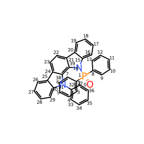 O=P(c1ccccc1)(c1ccccc1)n1c2ccccc2c2ccc3c4ccccc4n(-c4ccccc4)c3c21